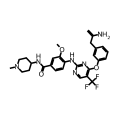 C=C(N)Cc1cccc(Oc2nc(Nc3ccc(C(=O)NC4CCN(C)CC4)cc3OC)ncc2C(F)(F)F)c1